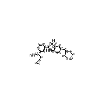 CCCN(CC1CC1)c1cc(C(=O)Nc2ccc(CN3CCOCC3)cc2C)ncn1